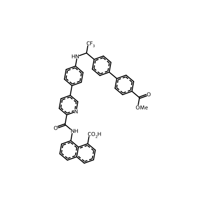 COC(=O)c1ccc(-c2ccc(C(Nc3ccc(-c4ccc(C(=O)Nc5cccc6cccc(C(=O)O)c56)nc4)cc3)C(F)(F)F)cc2)cc1